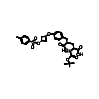 Cc1ccc(S(=O)(=O)O[C@H]2C[C@H](Oc3ccc(C[C@@H](C[C@H](NC(=O)OC(C)(C)C)C(=O)O)C(=O)O)cc3)C2)cc1